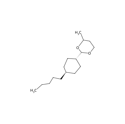 CCCCC[C@H]1CC[C@H](C2OCCC(C)O2)CC1